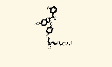 CCN(CCOCC(=O)O)CCOc1ccc(Oc2c(C(=O)c3cccc(F)c3)sc3cc(O)ccc23)cc1